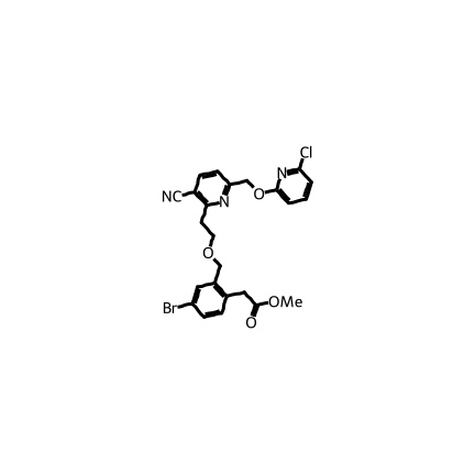 COC(=O)Cc1ccc(Br)cc1COCCc1nc(COc2cccc(Cl)n2)ccc1C#N